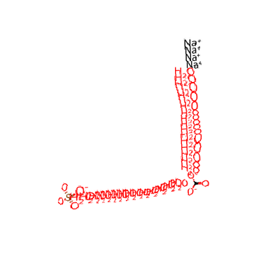 O.O.O.O.O.O.O.O.O.O.O.O.O.O.O.O.O.O.O.O.O.O.O.O.O.O.O.O.O.O.O=C([O-])[O-].O=S(=O)([O-])[O-].[Na+].[Na+].[Na+].[Na+]